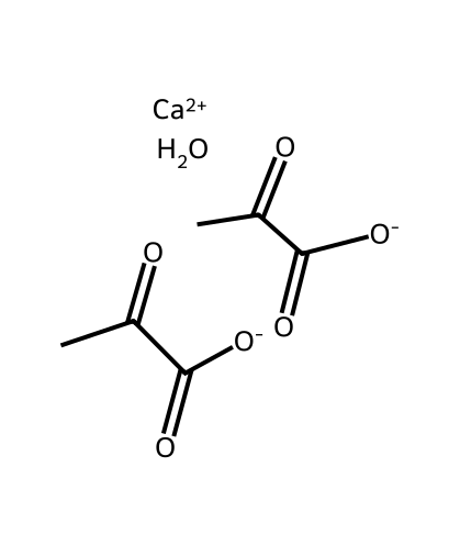 CC(=O)C(=O)[O-].CC(=O)C(=O)[O-].O.[Ca+2]